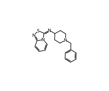 c1ccc(CN2CCC(/N=c3/snc4ccccn34)CC2)cc1